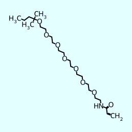 C=CC(=O)NCCOCCOCCOCCOCCOCCOCCOC(C)(C)CCC